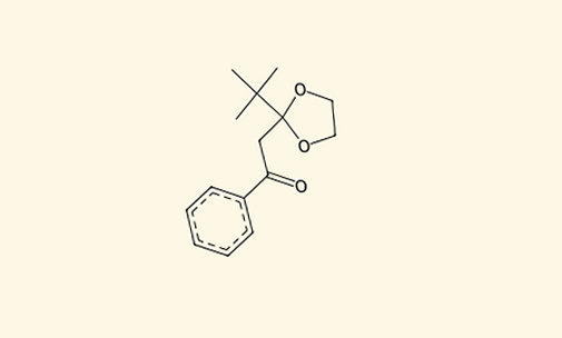 CC(C)(C)C1(CC(=O)c2ccccc2)OCCO1